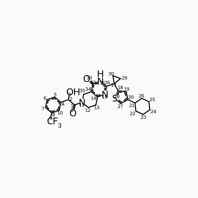 O=C(C(O)c1cccc(C(F)(F)F)c1)N1CCc2nc(C3(c4cc(C5CCCCC5)cs4)CC3)[nH]c(=O)c2C1